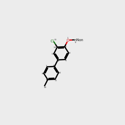 CCCCCCCCCOc1ccc(-c2ccc(C)cc2)cc1Cl